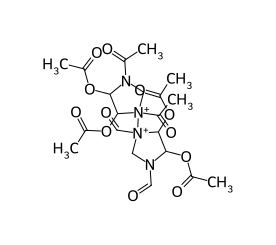 CC(=O)OC1C(OC(C)=O)[N+](C=O)([N+]2(C(C)=O)CN(C(C)=O)C(OC(C)=O)C2OC(C)=O)CN1C=O